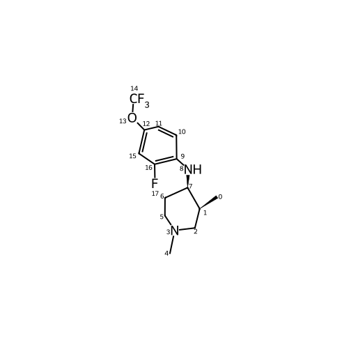 C[C@H]1CN(C)CC[C@H]1Nc1ccc(OC(F)(F)F)cc1F